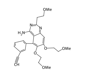 C#Cc1cccc(-c2c(OCCOC)c(OCCOC)cc3nc(CCOC)nc(N)c23)c1